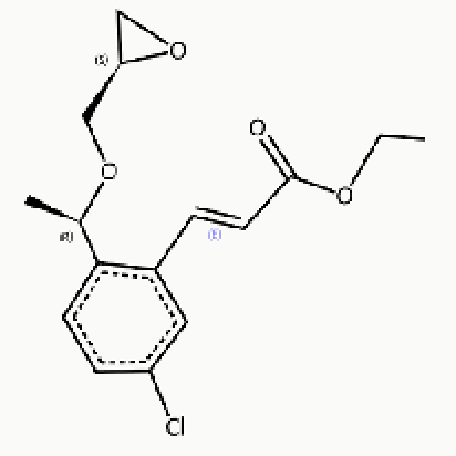 CCOC(=O)/C=C/c1cc(Cl)ccc1[C@@H](C)OC[C@H]1CO1